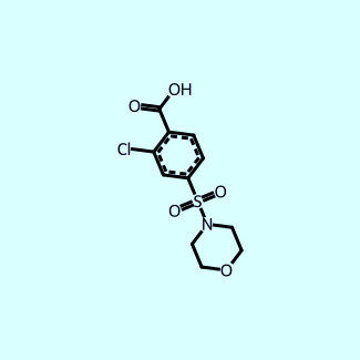 O=C(O)c1ccc(S(=O)(=O)N2CCOCC2)cc1Cl